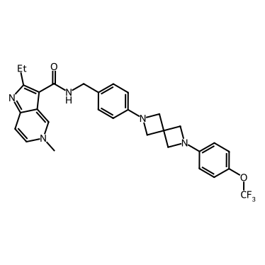 CCc1nc2ccn(C)cc-2c1C(=O)NCc1ccc(N2CC3(C2)CN(c2ccc(OC(F)(F)F)cc2)C3)cc1